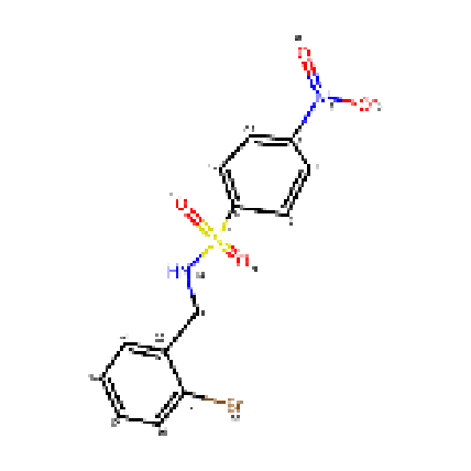 O=[N+]([O-])c1ccc(S(=O)(=O)NCc2ccccc2Br)cc1